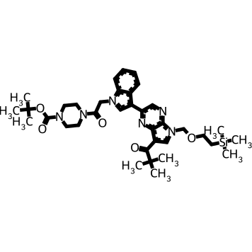 CC(C)(C)OC(=O)N1CCN(C(=O)Cn2cc(-c3cnc4c(n3)c(C(=O)C(C)(C)C)cn4COCC[Si](C)(C)C)c3ccccc32)CC1